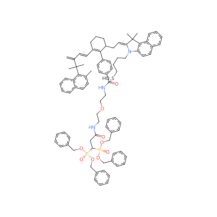 C=C(/C=C/C1=C(c2ccc(C(=O)NCCOCCNC(=O)CC(P(=O)(OCc3ccccc3)OCc3ccccc3)P(=O)(OCc3ccccc3)OCc3ccccc3)cc2)C(C/C=C2\N(CCCCS(=O)(=O)O)c3ccc4ccccc4c3C2(C)C)CCC1)C(C)(C)c1c(C)ccc2ccccc12